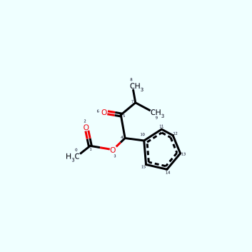 CC(=O)OC(C(=O)C(C)C)c1ccccc1